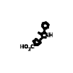 Cc1c(-c2ccc(C(=O)O)cc2)c[nH]c1-c1ccccc1